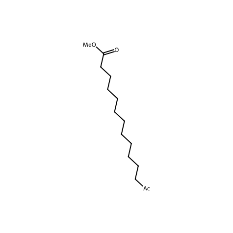 COC(=O)CCCCCCCCCCCC(C)=O